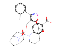 Cc1ccccc1-c1noc(C2CC2)c1COC1CC2CCC(C1)N2C(=O)N1CCCc2cc(C(=O)O)ccc21